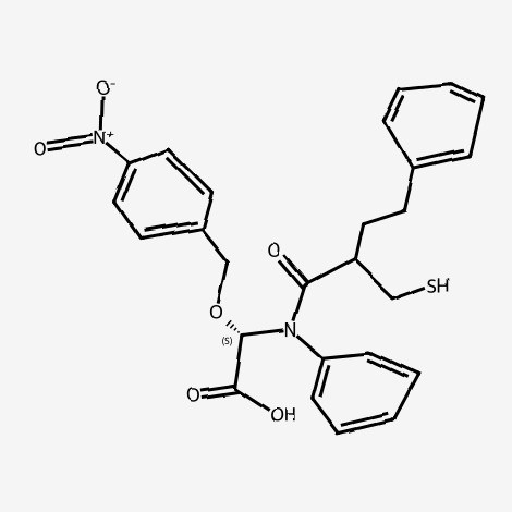 O=C(O)[C@H](OCc1ccc([N+](=O)[O-])cc1)N(C(=O)C(CS)CCc1ccccc1)c1ccccc1